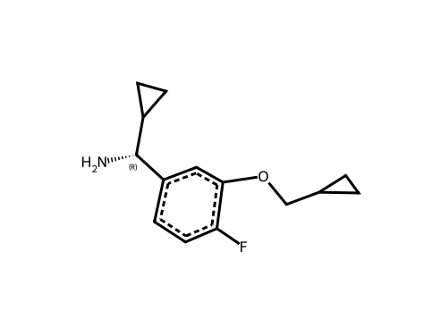 N[C@@H](c1ccc(F)c(OCC2CC2)c1)C1CC1